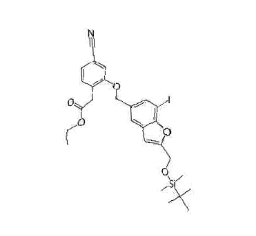 CCOC(=O)Cc1ccc(C#N)cc1OCc1cc(I)c2oc(CO[Si](C)(C)C(C)(C)C)cc2c1